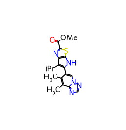 COC(=O)c1nc2c(C(C)C)c(-c3cn4ncnc4c(C)c3C)[nH]c2s1